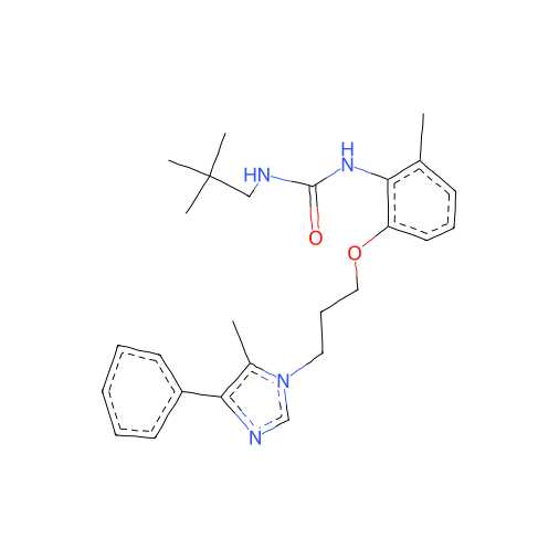 Cc1cccc(OCCCn2cnc(-c3ccccc3)c2C)c1NC(=O)NCC(C)(C)C